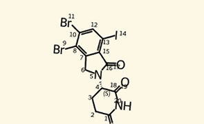 O=C1CC[C@H](N2Cc3c(Br)c(Br)cc(I)c3C2=O)C(=O)N1